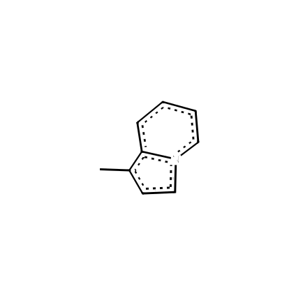 Ic1ccn2ccccc12